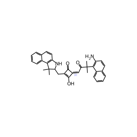 CC(C)(C(=O)/C=C1\C(=O)C(CC2Nc3ccc4ccccc4c3C2(C)C)=C1O)c1c(N)ccc2ccccc12